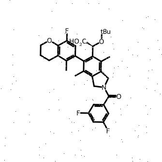 Cc1c(-c2c(C)c3c(c(C)c2[C@H](OC(C)(C)C)C(=O)O)CN(C(=O)c2cc(F)cc(F)c2)C3)cc(F)c2c1CCCO2